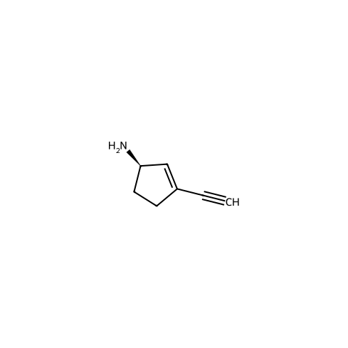 C#CC1=C[C@H](N)CC1